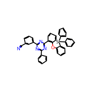 N#Cc1cccc(-c2nc(-c3ccccc3)nc(-c3cccc4c3Oc3ccccc3[Si]4(c3ccccc3)c3ccccc3)n2)c1